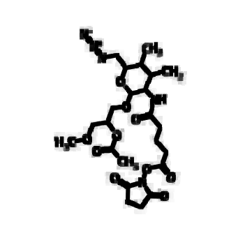 COCC(COC1OC(CN=[N+]=[N-])C(C)C(C)C1NC(=O)CCCC(=O)ON1C(=O)CCC1=O)OC(C)=O